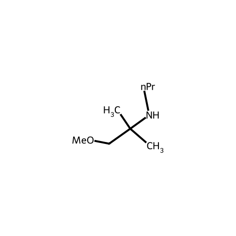 CCCNC(C)(C)COC